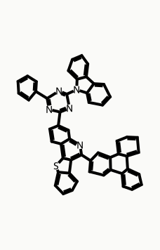 c1ccc(-c2nc(-c3ccc4c(c3)nc(-c3ccc5c6ccccc6c6ccccc6c5c3)c3c5ccccc5sc43)nc(-n3c4ccccc4c4ccccc43)n2)cc1